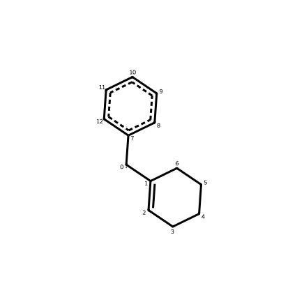 [CH](C1=CCCCC1)c1ccccc1